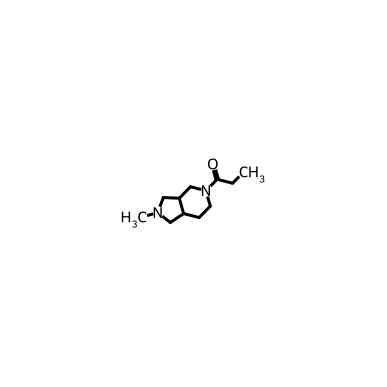 CCC(=O)N1CCC2CN(C)CC2C1